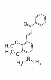 COc1c(C=CC(=O)c2ccccc2)ccc(N(C)C)c1OC